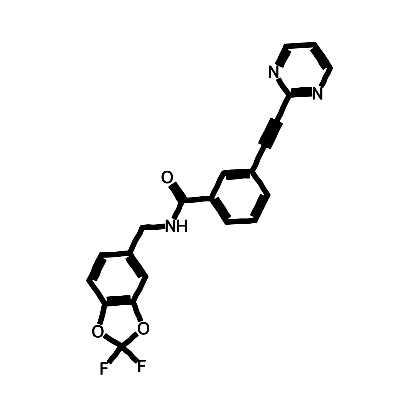 O=C(NCc1ccc2c(c1)OC(F)(F)O2)c1cccc(C#Cc2ncccn2)c1